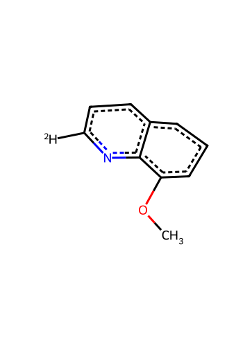 [2H]c1ccc2cccc(OC)c2n1